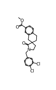 COC(=O)c1ccc2c(c1)CC1(CC2)CCN(Cc2ccc(Cl)c(Cl)c2)C1=O